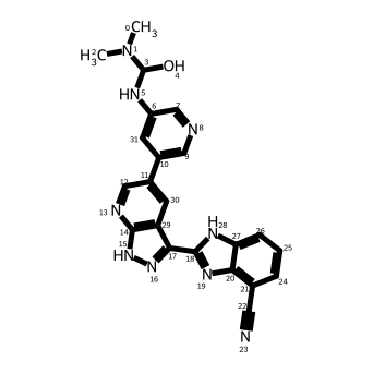 CN(C)C(O)Nc1cncc(-c2cnc3[nH]nc(-c4nc5c(C#N)cccc5[nH]4)c3c2)c1